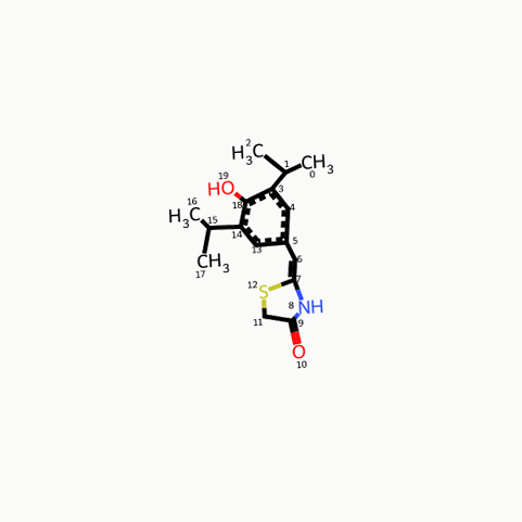 CC(C)c1cc(C=C2NC(=O)CS2)cc(C(C)C)c1O